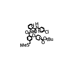 CSCc1ccc(C(=O)Nc2cccnc2C(=O)Nc2ccc(Cl)cn2)c(OC2CCN(C(=O)OC(C)(C)C)CC2)c1